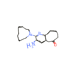 NC1=CC2C(=O)CCCC2N=C1N1CCCCCC1